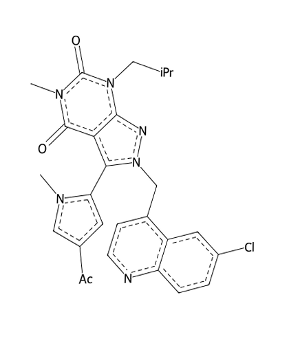 CC(=O)c1cc(-c2c3c(=O)n(C)c(=O)n(CC(C)C)c3nn2Cc2ccnc3ccc(Cl)cc23)n(C)c1